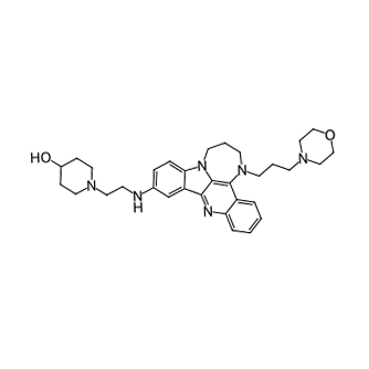 OC1CCN(CCNc2ccc3c(c2)c2nc4ccccc4c4c2n3CCCN4CCCN2CCOCC2)CC1